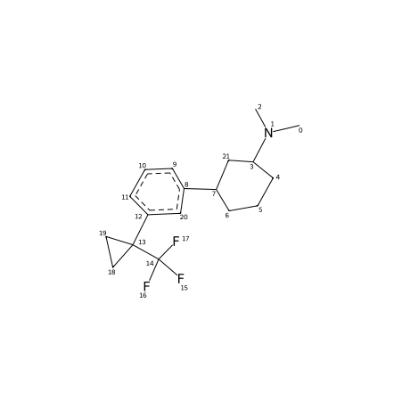 CN(C)C1CCCC(c2cccc(C3(C(F)(F)F)CC3)c2)C1